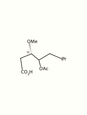 CO[C@@H](CC(=O)O)C(CC(C)C)OC(C)=O